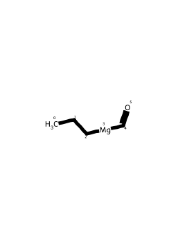 CC[CH2][Mg][CH]=O